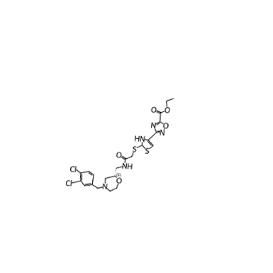 CCOC(=O)c1nc(C2=CSC(SCC(=O)NC[C@H]3CN(Cc4ccc(Cl)c(Cl)c4)CCO3)N2)no1